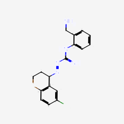 N=C(N=NC1CCSc2ccc(F)cc21)Nc1ccccc1CN